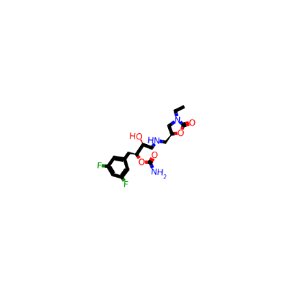 CCN1C[C@H](CNC[C@@H](O)[C@H](Cc2cc(F)cc(F)c2)OC(N)=O)OC1=O